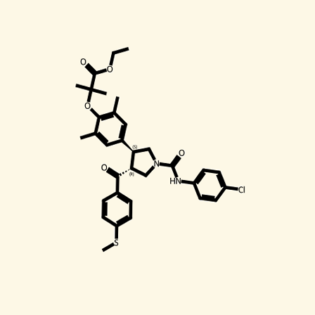 CCOC(=O)C(C)(C)Oc1c(C)cc([C@H]2CN(C(=O)Nc3ccc(Cl)cc3)C[C@@H]2C(=O)c2ccc(SC)cc2)cc1C